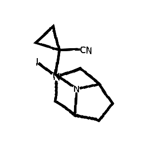 N#CC1(CN2C3CCC2CN(I)C3)CC1